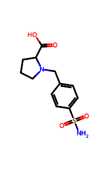 NS(=O)(=O)c1ccc(CN2CCCC2C(=O)O)cc1